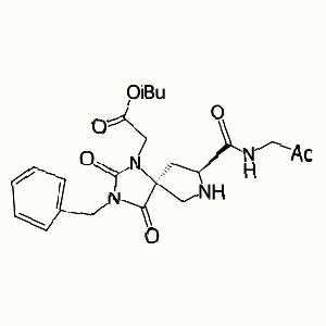 CC(=O)CNC(=O)[C@@H]1C[C@]2(CN1)C(=O)N(Cc1ccccc1)C(=O)N2CC(=O)OCC(C)C